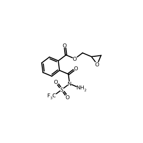 NN(C(=O)c1ccccc1C(=O)OCC1CO1)S(=O)(=O)C(F)(F)F